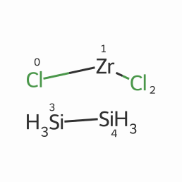 [Cl][Zr][Cl].[SiH3][SiH3]